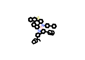 CCC1(c2ccc3c(c2)c2cc(C45CC6CC(CC(C6)C4)C5)cc4c2n3-c2cc3ccccc3c3c2B4N(c2ccc(-c4ccccc4)cc2)c2ccc4sc5cc6ccccc6cc5c4c2-3)CC2CCC(C2)C1